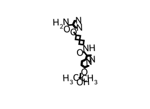 CC(C)(O)COc1ccc2c(C(=O)NC3CC4(C3)CC(Oc3ncncc3C(N)=O)C4)cnn2c1